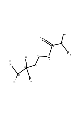 CC(F)C(=O)OCCC(F)(F)C(F)F